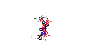 CC(C)(C)O[C@@H]1C[C@@H](C(=O)[N+]2(c3cnc([N+]4(C(=O)[C@@H]5C[C@@H](OC(C)(C)C)CN5C(=O)O)C5=CC=C4C=C5)o3)C3=CC=C2C=C3)N(C(=O)O)C1